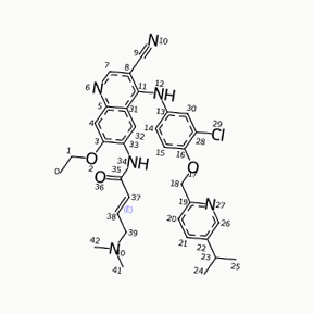 CCOc1cc2ncc(C#N)c(Nc3ccc(OCc4ccc(C(C)C)cn4)c(Cl)c3)c2cc1NC(=O)/C=C/CN(C)C